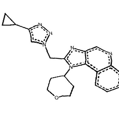 c1ccc2c(c1)ncc1nc(Cn3cc(C4CC4)nn3)n(C3CCOCC3)c12